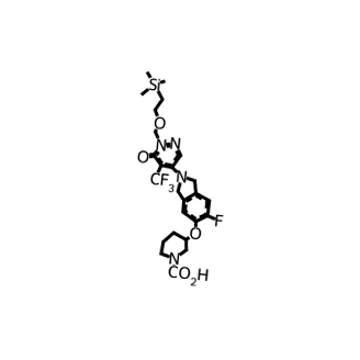 C[Si](C)(C)CCOCn1ncc(N2Cc3cc(F)c(OC4CCCN(C(=O)O)C4)cc3C2)c(C(F)(F)F)c1=O